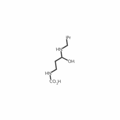 CC(C)CNC(O)CCNC(=O)O